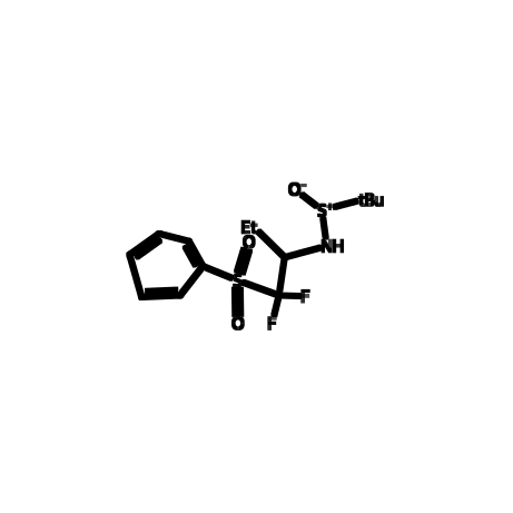 CCC(N[S+]([O-])C(C)(C)C)C(F)(F)S(=O)(=O)c1ccccc1